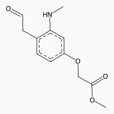 CNc1cc(OCC(=O)OC)ccc1CC=O